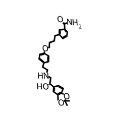 CC1(C)OCc2cc([C@H](O)CNCCc3ccc(OCCCCc4cccc(C(N)=O)c4)cc3)ccc2O1